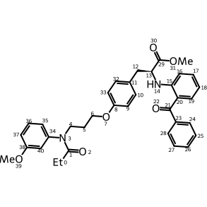 CCC(=O)N(CCCOc1ccc(C[C@H](Nc2ccccc2C(=O)c2ccccc2)C(=O)OC)cc1)c1cccc(OC)c1